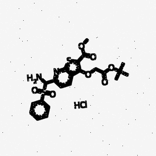 COC(=O)c1sc2nc(C(N)S(=O)(=O)c3ccccc3)ccc2c1OCC(=O)OC(C)(C)C.Cl